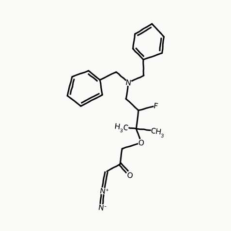 CC(C)(OCC(=O)C=[N+]=[N-])C(F)CN(Cc1ccccc1)Cc1ccccc1